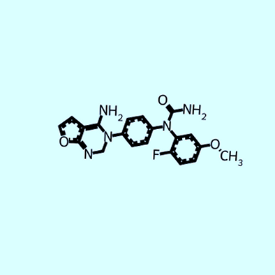 COc1ccc(F)c(N(C(N)=O)c2ccc(N3CN=c4occc4=C3N)cc2)c1